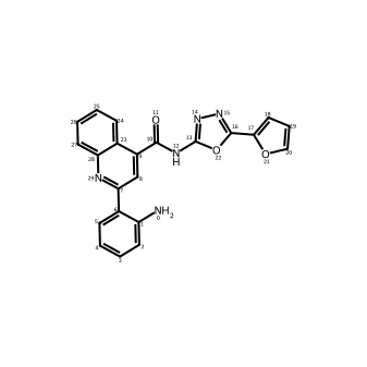 Nc1ccccc1-c1cc(C(=O)Nc2nnc(-c3ccco3)o2)c2ccccc2n1